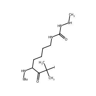 CBBC(=O)NCCCCC(NC(C)(C)C)C(=O)C(C)(C)I